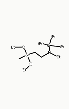 CCO[Si](C)(CCN(CC)[Si](C(C)C)(C(C)C)C(C)C)OCC